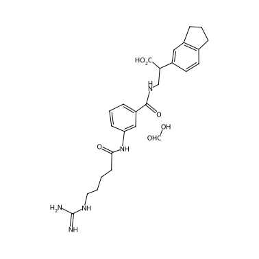 N=C(N)NCCCCC(=O)Nc1cccc(C(=O)NCC(C(=O)O)c2ccc3c(c2)CCC3)c1.O=CO